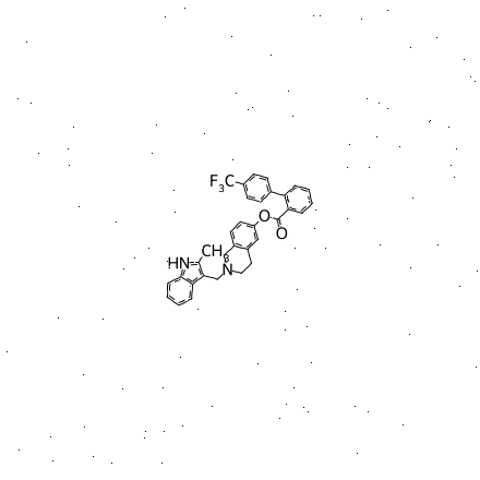 Cc1[nH]c2ccccc2c1CN1CCc2cc(OC(=O)c3ccccc3-c3ccc(C(F)(F)F)cc3)ccc2C1